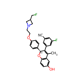 CC1=C(c2cc(F)cc(C#N)c2)[C@H](c2ccc(OCCN3CC(CF)C3)cc2)Oc2ccc(O)cc21